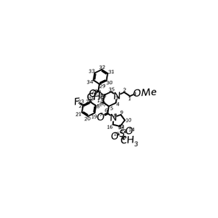 COCCN1CC(C(=O)N2CC[C@H](S(C)(=O)=O)C2)[C@H](c2cccc(F)c2C)[C@@H](C(=O)c2ccccc2)C1